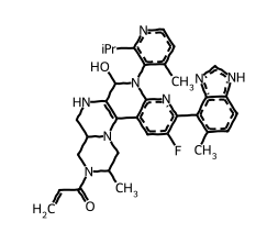 C=CC(=O)N1CC2CNC3=C(c4cc(F)c(-c5c(C)ccc6[nH]cnc56)nc4N(c4c(C)ccnc4C(C)C)C3O)N2CC1C